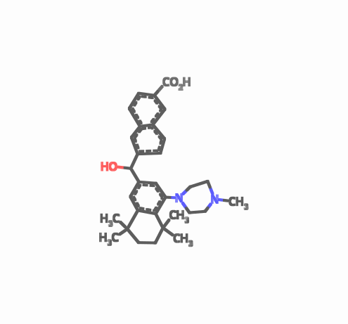 CN1CCN(c2cc(C(O)c3ccc4cc(C(=O)O)ccc4c3)cc3c2C(C)(C)CCC3(C)C)CC1